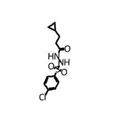 O=C(CCC1CC1)NNS(=O)(=O)c1ccc(Cl)cc1